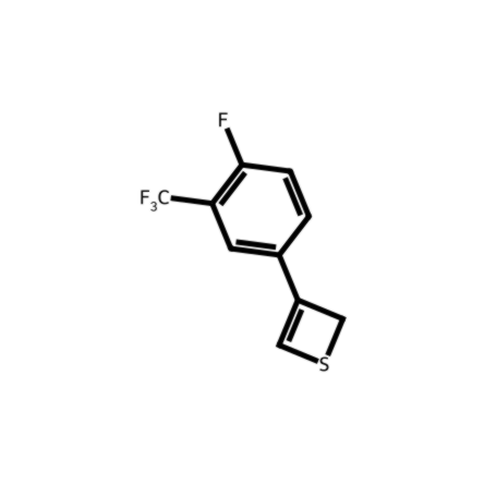 Fc1ccc(C2=CSC2)cc1C(F)(F)F